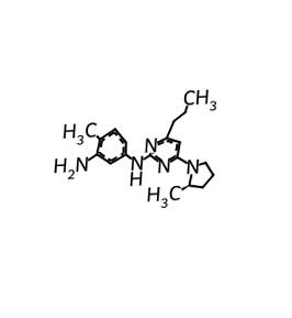 CCCc1cc(N2CCC[C@H]2C)nc(Nc2ccc(C)c(N)c2)n1